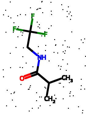 [CH2]C(C)C(=O)NCC(F)(F)F